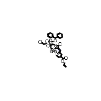 C=CCOC(=O)c1ccnc(/C=C2/C(=O)N3C2S(=O)(=O)CC(C)(OC(O)CCl)[C@@H]3C(=O)OC(c2ccccc2)c2ccccc2)c1